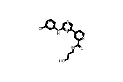 O=C(NCCCO)c1cc(-c2cncc(Nc3cccc(Cl)c3)n2)ccn1